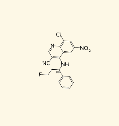 N#Cc1cnc2c(Cl)cc([N+](=O)[O-])cc2c1N[C@H](CCF)c1ccccc1